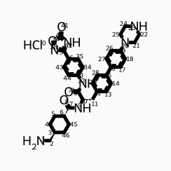 Cl.NC[C@H]1CC[C@H](C(=O)N[C@@H](Cc2ccc(-c3ccc(N4CCNCC4)cc3)cc2)C(=O)Nc2ccc(-c3noc(=O)[nH]3)cc2)CC1